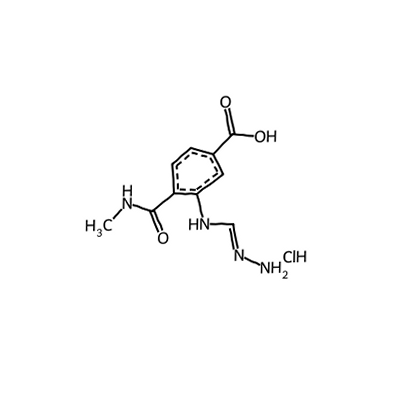 CNC(=O)c1ccc(C(=O)O)cc1NC=NN.Cl